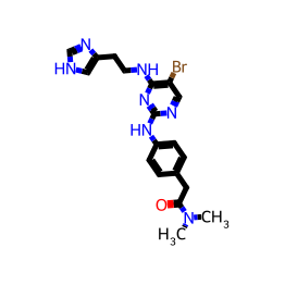 CN(C)C(=O)Cc1ccc(Nc2ncc(Br)c(NCCc3c[nH]cn3)n2)cc1